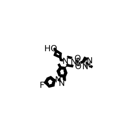 Cc1cc2c(cnn2-c2ccc(F)cc2)cc1[C@@H]1CN(S(=O)(=O)c2cnn(C)n2)CCN1CC1CC(O)C1